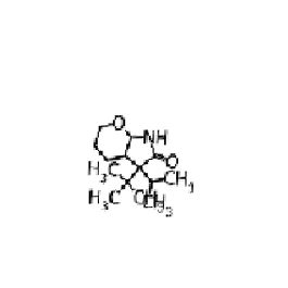 CC(C)C1(C(C)(C)C)C(=O)NC2OCCCC21